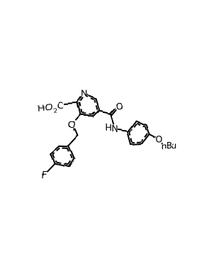 CCCCOc1ccc(NC(=O)c2cnc(C(=O)O)c(OCc3ccc(F)cc3)c2)cc1